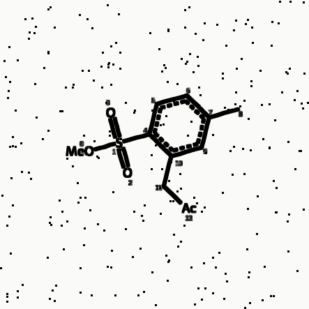 COS(=O)(=O)c1ccc(C)cc1CC(C)=O